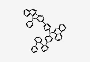 c1ccc(-c2ccccc2-c2ccccc2-c2ccc(N(c3ccc(-c4ccc5c6ccc7ccccc7c6n(-c6ccccc6)c5c4)cc3)c3cc4ccccc4c4ccccc34)cc2)cc1